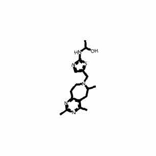 Cc1nc(C)c2c(n1)CCN(Cc1cnc(NC(C)O)s1)C(C)C2